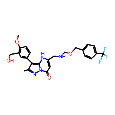 COc1ccc(-c2c(C)nn3c(=O)cc(CNCOCc4ccc(C(F)(F)F)cc4)[nH]c23)cc1CO